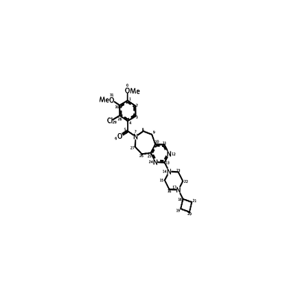 COc1ccc(C(=O)N2CCc3cnc(N4CCN(C5CCC5)CC4)nc3CC2)c(Cl)c1OC